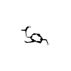 CC(=O)Oc1ccc(CCl)cc1[C]=O